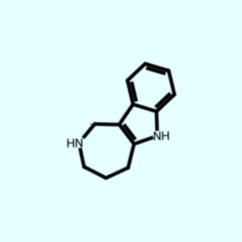 [CH]1NCCCc2[nH]c3ccccc3c21